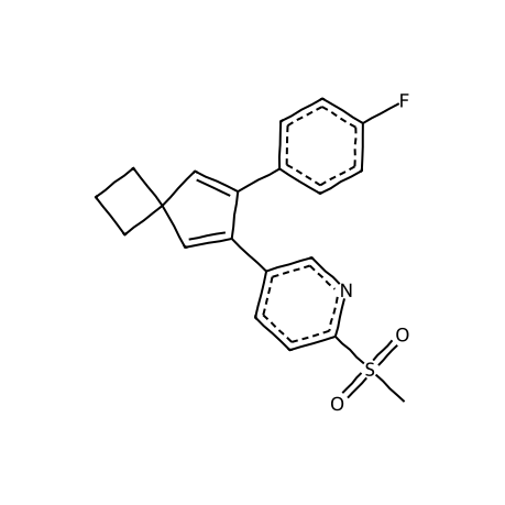 CS(=O)(=O)c1ccc(C2=CC3(C=C2c2ccc(F)cc2)CCC3)cn1